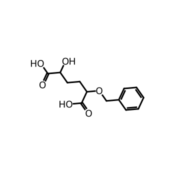 O=C(O)C(O)CCC(OCc1ccccc1)C(=O)O